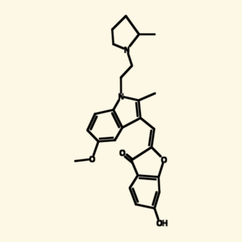 COc1ccc2c(c1)c(C=C1Oc3cc(O)ccc3C1=O)c(C)n2CCN1CCCC1C